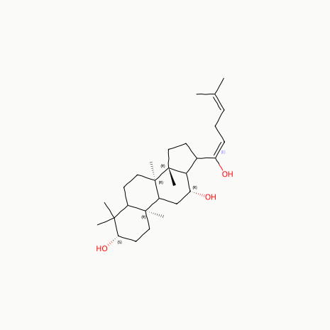 CC(C)=CC/C=C(/O)C1CC[C@]2(C)C1[C@H](O)CC1[C@@]3(C)CC[C@H](O)C(C)(C)C3CC[C@]12C